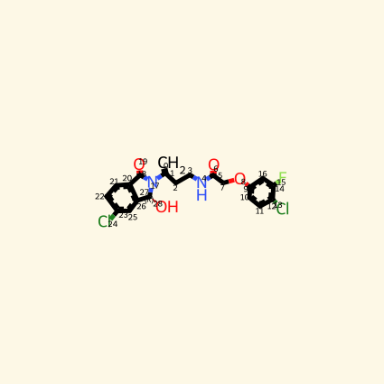 C=C(CCNC(=O)COc1ccc(Cl)c(F)c1)N1C(=O)c2ccc(Cl)cc2[C@H]1O